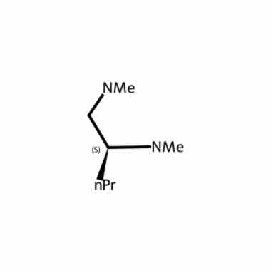 CCC[C@@H](CNC)NC